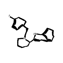 Fc1ccc(CN2CCCCC2c2cc3ccccc3[nH]2)cc1